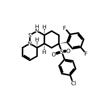 O=S(=O)(c1ccc(Cl)cc1)[C@]1(c2cc(F)ccc2F)CC[C@@H]2NSN3CC=CC[C@@H]3[C@@H]2C1